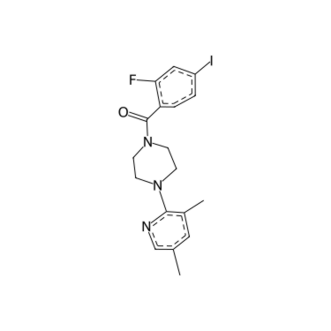 Cc1cnc(N2CCN(C(=O)c3ccc(I)cc3F)CC2)c(C)c1